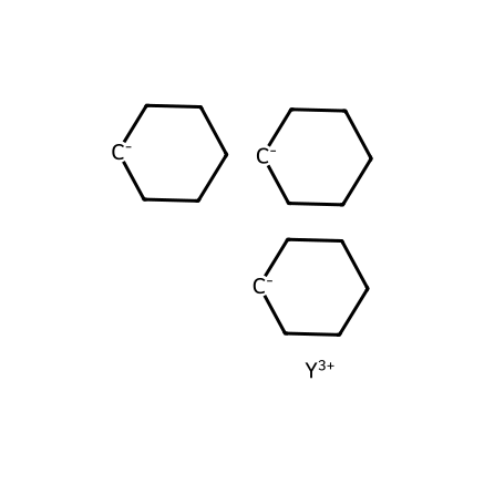 [CH-]1CCCCC1.[CH-]1CCCCC1.[CH-]1CCCCC1.[Y+3]